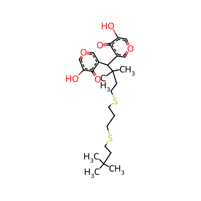 CC(C)(C)CCSCCCSCCC(C)(C)C(c1cocc(O)c1=O)c1cocc(O)c1=O